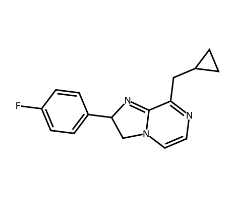 Fc1ccc(C2CN3C=CN=C(CC4CC4)C3=N2)cc1